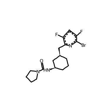 O=C(N[C@@H]1CCC[C@H](Cc2nc(Br)c(F)cc2F)C1)N1CCCC1